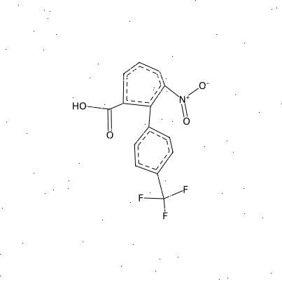 O=C(O)c1cccc([N+](=O)[O-])c1-c1ccc(C(F)(F)F)cc1